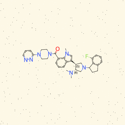 CN(C)[C@H]1CN(C2CCc3cccc(F)c32)C[C@@H]1c1cn(C)c2c(C(=O)N3CCN(c4cccnn4)CC3)cccc12